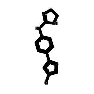 Clc1csc(-c2ccc(NC3=NCCN3)cc2)c1